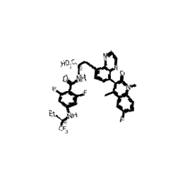 CC[C@@H](Nc1cc(F)c(C(=O)N[C@@H](Cc2ccc(-c3c(C)c4cc(F)ccc4n(C)c3=O)c3nccnc23)C(=O)O)c(F)c1)C(F)(F)F